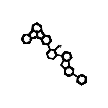 CC(C)C1=C(c2cccc3c2Cc2ccc(-c4ccccc4)cc2-3)CCC=C1c1ccc2c3cccc4c5ccccc5n(c2c1)c43